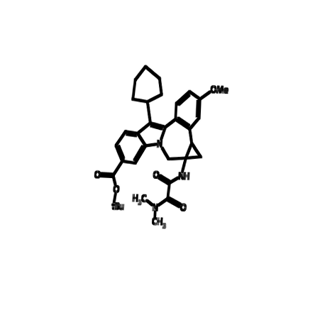 COc1ccc2c(c1)C1CC1(NC(=O)C(=O)N(C)C)Cn1c-2c(C2CCCCC2)c2ccc(C(=O)OC(C)(C)C)cc21